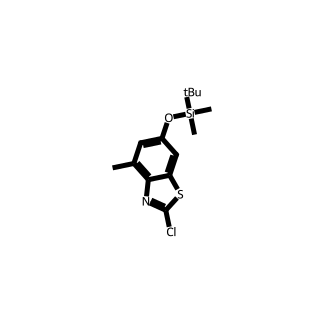 Cc1cc(O[Si](C)(C)C(C)(C)C)cc2sc(Cl)nc12